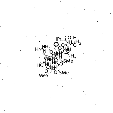 CSCC[C@H](NC(=O)[C@H](CCSC)NC(=O)[C@H](CO)NC(=O)[C@@H](N)CCCNC(=N)N)C(=O)N[C@@H](CCSC)C(=O)N[C@H](C(=O)N[C@@H](Cc1ccccc1)C(=O)N[C@@H](CC(N)=O)C(=O)N[C@@H](CCC(N)=O)C(=O)N[C@@H](CC(C)C)C(=O)O)C(C)C